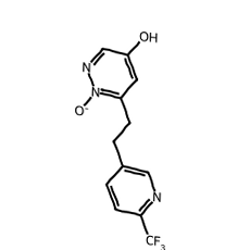 [O-][n+]1ncc(O)cc1CCc1ccc(C(F)(F)F)nc1